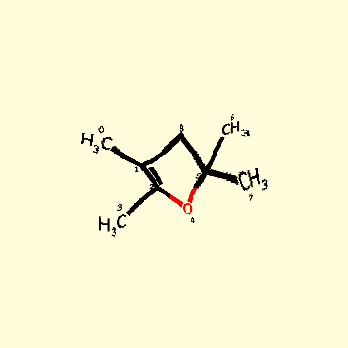 CC1=C(C)OC(C)(C)C1